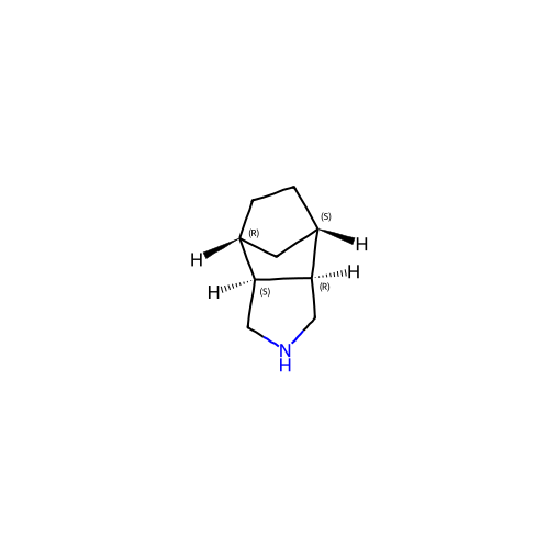 C1C[C@@H]2C[C@H]1[C@H]1CNC[C@@H]21